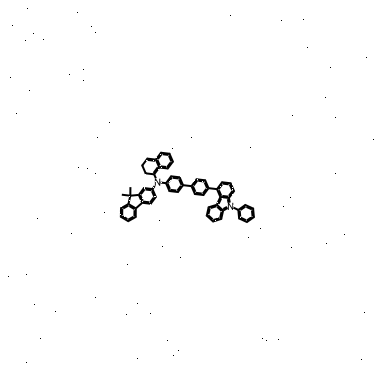 CC1(C)c2ccccc2-c2ccc(N(C3=c4ccccc4=CCC3)c3ccc(-c4ccc(-c5cccc6c5c5ccccc5n6-c5ccccc5)cc4)cc3)cc21